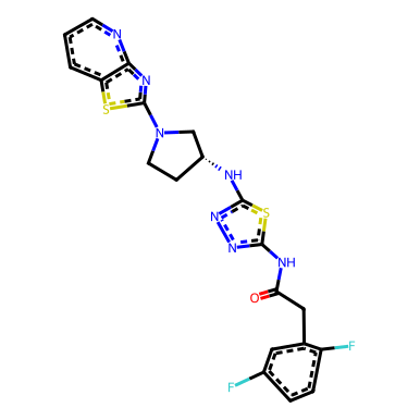 O=C(Cc1cc(F)ccc1F)Nc1nnc(N[C@@H]2CCN(c3nc4ncccc4s3)C2)s1